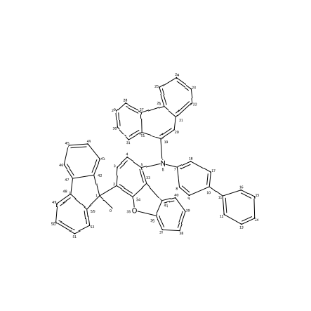 CC1(c2ccc(N(c3ccc(-c4ccccc4)cc3)c3cc4ccccc4c4ccccc34)c3c2oc2ccccc23)c2ccccc2-c2ccccc21